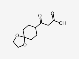 O=C(O)CC(=O)C1CCC2(CC1)OCCO2